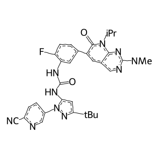 CNc1ncc2cc(-c3ccc(F)c(NC(=O)Nc4cc(C(C)(C)C)nn4-c4ccc(C#N)nc4)c3)c(=O)n(C(C)C)c2n1